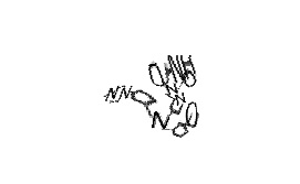 COc1cccc(CN(Cc2cccc(N3CCN(C)CC3)c2)c2ccnc(CN3CC(=O)NCC3=O)c2)c1